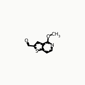 COc1nccc2sc(C=O)cc12